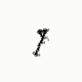 O=C(O)CCOCCOCCNCCC[SiH2]C(CCCS(=O)(=O)O)CCCS(=O)(=O)O